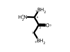 BCC(=O)C(B)N